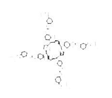 Nc1cccc(CC(=O)Cc2ccc(-c3c4nc(c(-c5ccc(CC(=O)Cc6cccc(N)c6)cc5)c5ccc([nH]5)c(-c5ccc(CC(=O)Cc6cccc(N)c6)cc5)c5nc(c(-c6ccc(CC(=O)Cc7cccc(N)c7)cc6)c6ccc3[nH]6)C=C5)C=C4)cc2)c1